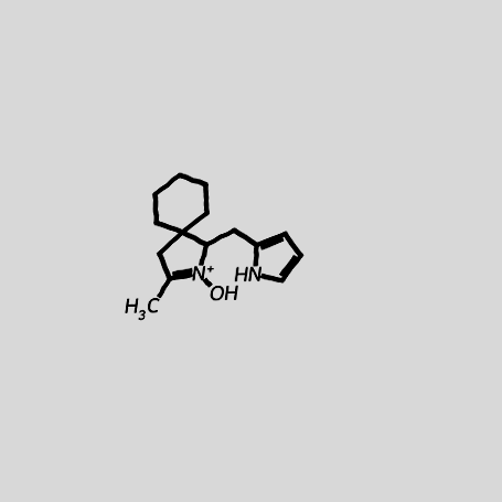 CC1=[N+](O)C(Cc2ccc[nH]2)C2(CCCCC2)C1